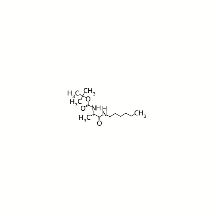 CCCCCCNC(=O)[C](C)NC(=O)OC(C)(C)C